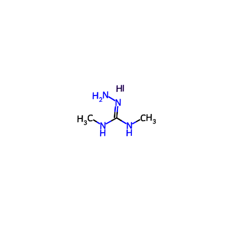 CNC(=NN)NC.I